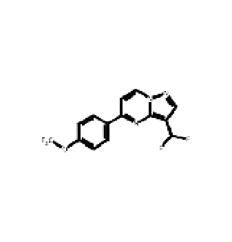 FC(F)c1cnn2ccc(-c3ccc(OC(F)(F)F)cc3)nc12